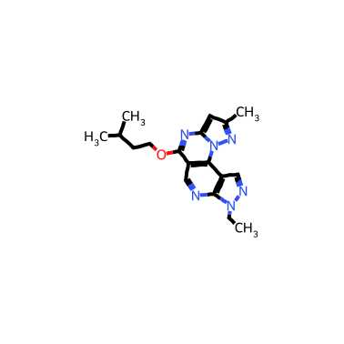 CCn1ncc2c1ncc1c(OCCC(C)C)nc3cc(C)nn3c12